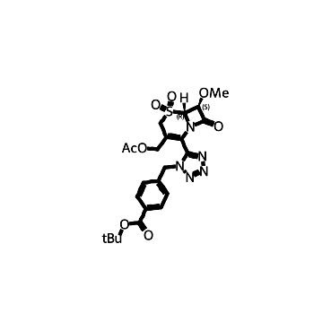 CO[C@H]1C(=O)N2C(c3nnnn3Cc3ccc(C(=O)OC(C)(C)C)cc3)=C(COC(C)=O)CS(=O)(=O)[C@H]12